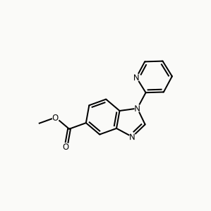 COC(=O)c1ccc2c(c1)ncn2-c1ccccn1